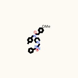 COc1ccc(CC(=O)N(Cc2ccc(C)cc2)C2CCN(Cc3noc(-c4ccccc4)n3)CC2)cc1